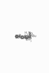 CCCC[C@H](CC(N)=O)C(=O)N(O)CC(C)(C)CC(=O)N1CCC(NC(=O)c2ccccc2)CC1